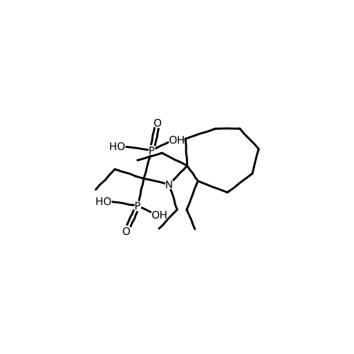 CCC1CCCCCCC1(CC)N(CC)C(CC)(P(=O)(O)O)P(=O)(O)O